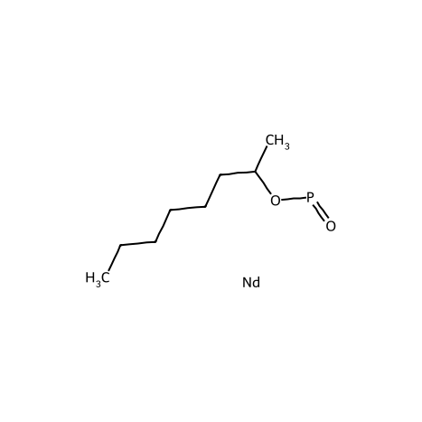 CCCCCCC(C)OP=O.[Nd]